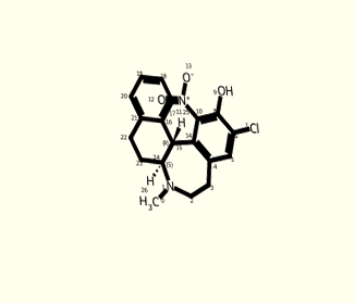 CN1CCc2cc(Cl)c(O)c([N+](=O)[O-])c2[C@H]2c3ccccc3CC[C@@H]21